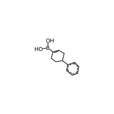 OB(O)C1=CCC(c2ccccc2)CC1